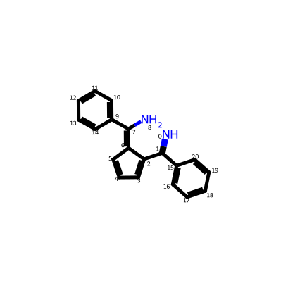 N=C(C1=CC=C/C1=C(/N)c1ccccc1)c1ccccc1